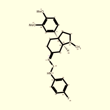 COc1ccc([C@@]23CC/C(=N/SNc4ccc(F)cc4)C[C@@H]2N(C)CC3)cc1OC